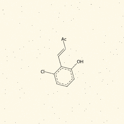 CC(=O)C=Cc1c(O)cccc1Cl